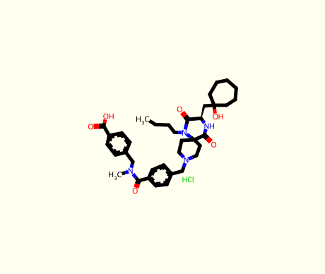 CCCCN1C(=O)[C@@H](CC2(O)CCCCCC2)NC(=O)C12CCN(Cc1ccc(C(=O)N(C)Cc3ccc(C(=O)O)cc3)cc1)CC2.Cl